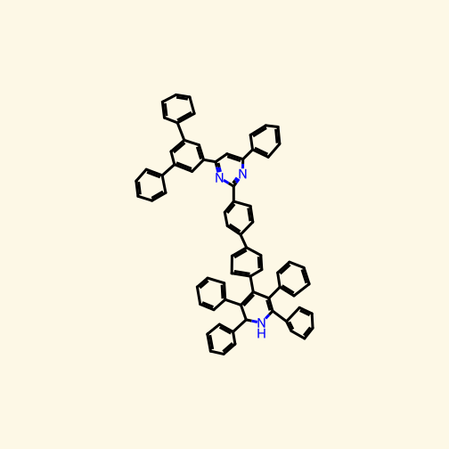 c1ccc(C2=C(c3ccccc3)C(c3ccc(-c4ccc(-c5nc(-c6ccccc6)cc(-c6cc(-c7ccccc7)cc(-c7ccccc7)c6)n5)cc4)cc3)=C(c3ccccc3)C(c3ccccc3)N2)cc1